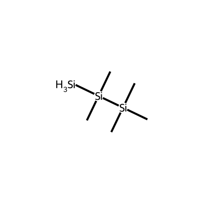 C[Si](C)(C)[Si](C)(C)[SiH3]